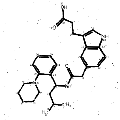 CC(C)CC(NC(=O)Cc1ccc2[nH]cc(CCC(=O)O)c2c1)c1ccccc1N1CCCCC1